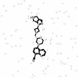 C[C@@H]1CN(c2ccc(C#N)c3ncccc23)C[C@H](CN2CC(n3ncc4c3CNC4)C2)O1